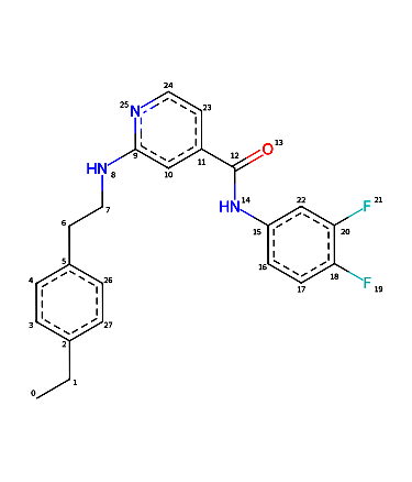 CCc1ccc(CCNc2cc(C(=O)Nc3ccc(F)c(F)c3)ccn2)cc1